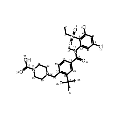 CCS(=O)(=O)c1c(Cl)cc(Cl)cc1N(C)C(=O)c1ccc(CN2CCN(C(=O)O)CC2)c(C(F)(F)F)c1